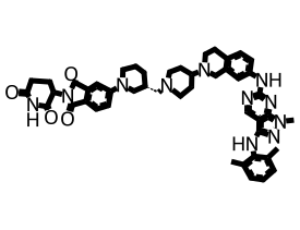 Cc1cccc(C)c1Nc1nn(C)c2nc(Nc3ccc4c(c3)CN(C3CCN(C[C@H]5CCCN(c6ccc7c(c6)C(=O)N(C6CCC(=O)NC6=O)C7=O)C5)CC3)CC4)ncc12